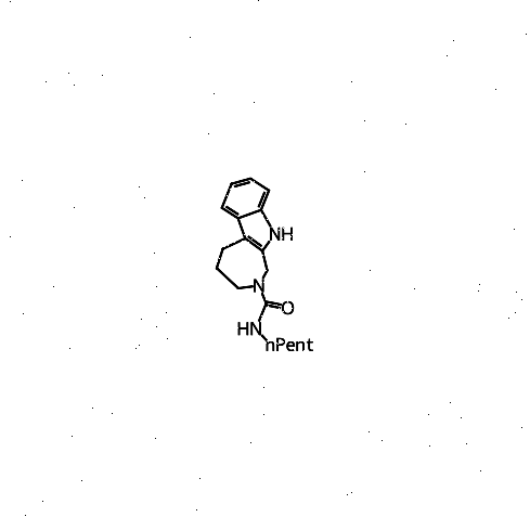 CCCCCNC(=O)N1CCCc2c([nH]c3ccccc23)C1